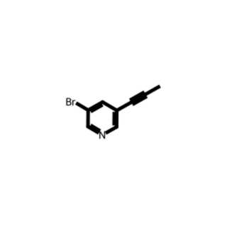 CC#Cc1cncc(Br)c1